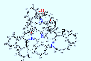 C=Nc1ccccc1/C(=N\Cn1c2c(c3c4ccccc4c4ccccc4c31)=CC(c1cccc3oc4ccc(-c5ccc6c(c5)c(C)c5ccccc5cccn6-c5ccccc5)cc4c13)C=2)c1ccccc1